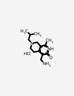 Cc1[nH]c(=O)c(CN)c2c1CN(CC(C)C)CC2.Cl